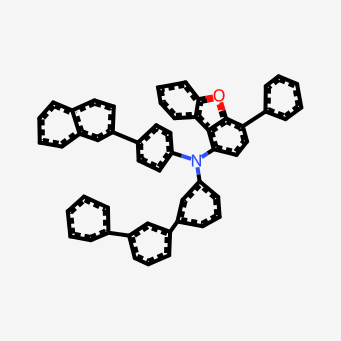 c1ccc(-c2cccc(-c3cccc(N(c4ccc(-c5ccc6ccccc6c5)cc4)c4ccc(-c5ccccc5)c5oc6ccccc6c45)c3)c2)cc1